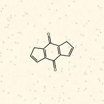 O=C1C2=C(CC=C2)C(=O)C2=C1C=CC2